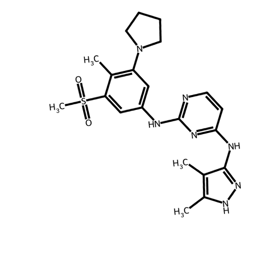 Cc1[nH]nc(Nc2ccnc(Nc3cc(N4CCCC4)c(C)c(S(C)(=O)=O)c3)n2)c1C